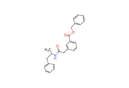 CC(Cc1ccccc1)NC(=O)Cc1cccc(C(=O)OCc2ccccc2)c1